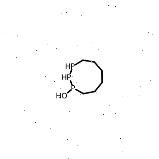 OP1CCCCCCPP1